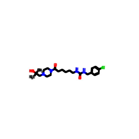 CC(C)(O)CN1CCN(C(=O)CCCCCNC(=O)NCc2ccc(Cl)cc2)CC1